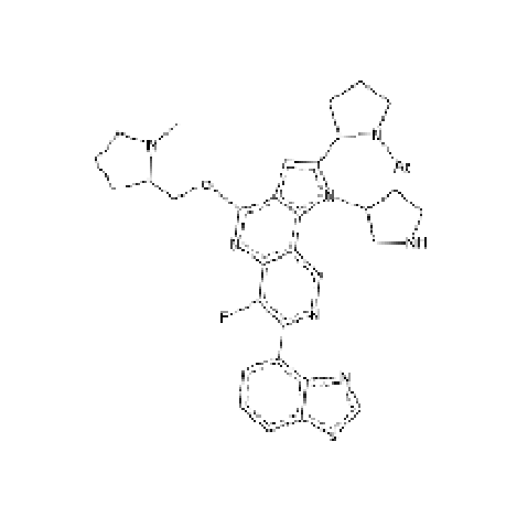 CC(=O)N1CCCC1c1cc2c(OCC3CCCN3C)nc3c(F)c(-c4cccc5scnc45)ncc3c2n1C1CCNC1